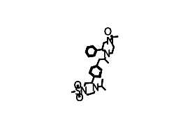 CC(=O)N1CCN(C(C)Cc2ccc(C3CN(S(C)(=O)=O)CCN3C(C)C)cc2)C(c2ccccc2)C1